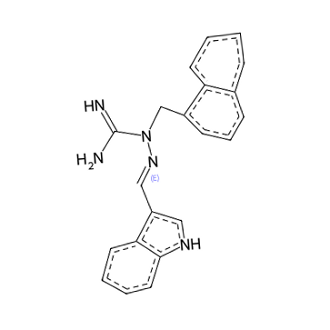 N=C(N)N(Cc1cccc2ccccc12)/N=C/c1c[nH]c2ccccc12